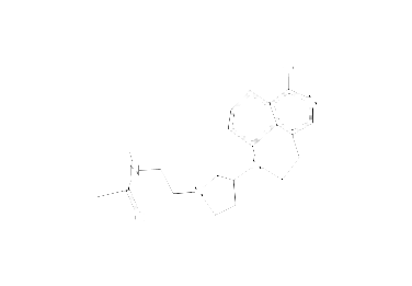 CC(=O)N(C)CCN1CCC(N2CCc3cnc(O)c4cccc2c34)C1